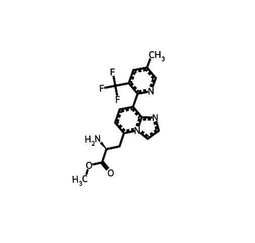 COC(=O)[C@@H](N)Cc1ccc(-c2ncc(C)cc2C(F)(F)F)c2nccn12